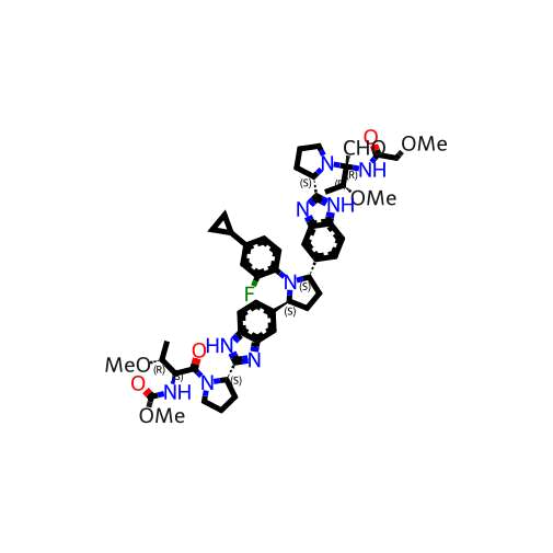 COCC(=O)N[C@](C=O)([C@@H](C)OC)N1CCC[C@H]1c1nc2cc([C@@H]3CC[C@@H](c4ccc5[nH]c([C@@H]6CCCN6C(=O)[C@@H](NC(=O)OC)[C@@H](C)OC)nc5c4)N3c3ccc(C4CC4)cc3F)ccc2[nH]1